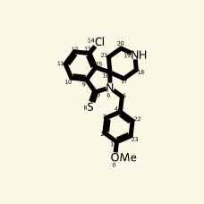 COc1ccc(CN2C(=S)c3cccc(Cl)c3C23CCNCC3)cc1